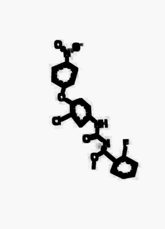 CO/C(=N\C(=O)Nc1ccc(Oc2ccc([N+](=O)[O-])cc2)c(Cl)c1)c1ccccc1F